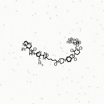 CCCCOP(=O)(OCCCC)OCN1C(=O)CCC(N2Cc3cc(N4CCN(C(=O)CCCCc5nc(-c6ncc(NC(=O)Nc7cnc8ccnn8c7C(C)C)cc6C)no5)CC4)ccc3C2=O)C1=O